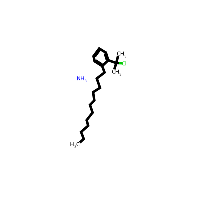 CCCCCCCCCCCCc1ccccc1C(C)(C)Cl.N